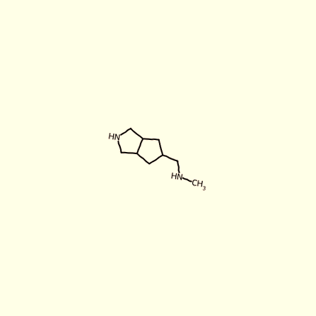 CNCC1CC2CNCC2C1